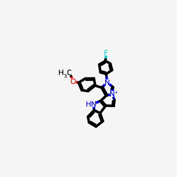 COc1ccc(-c2c3c4[nH]c5ccccc5c4cc[n+]3cn2-c2ccc(F)cc2)cc1